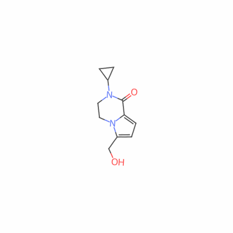 O=C1c2ccc(CO)n2CCN1C1CC1